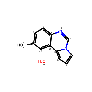 O.O=C(O)c1ccc2ncn3cccc3c2c1